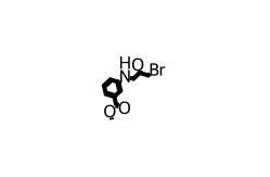 COC(=O)c1cccc(NCC(=O)CBr)c1